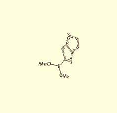 COB(OC)c1cc2sccc2s1